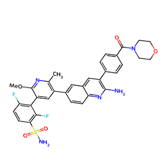 COc1nc(C)c(-c2ccc3nc(N)c(-c4ccc(C(=O)N5CCOCC5)cc4)cc3c2)cc1-c1c(F)ccc(S(N)(=O)=O)c1F